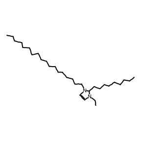 CCCCCCCCCCCCCCCCCCN1C=CN(CC)C1CCCCCCCCC